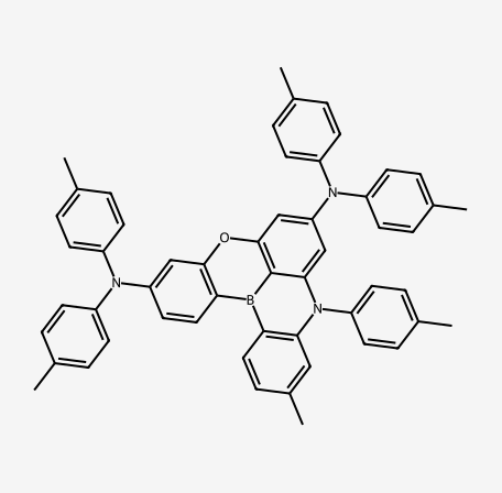 Cc1ccc(N(c2ccc(C)cc2)c2ccc3c(c2)Oc2cc(N(c4ccc(C)cc4)c4ccc(C)cc4)cc4c2B3c2ccc(C)cc2N4c2ccc(C)cc2)cc1